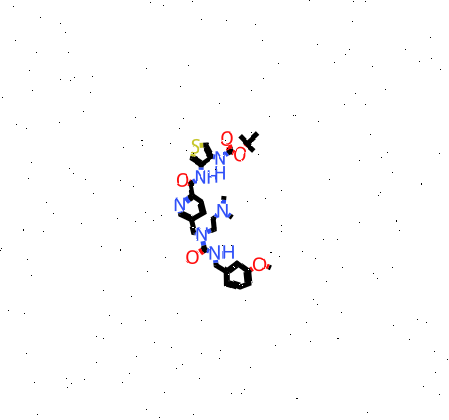 COc1cccc(CNC(=O)N(CCN(C)C)Cc2ccc(C(=O)Nc3cscc3NC(=O)OC(C)(C)C)nc2)c1